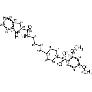 COc1ccc(S(=O)(=O)N2CCC(CCCCNC(=O)C3Cc4cnccc4N3)CC2)c(OC)c1